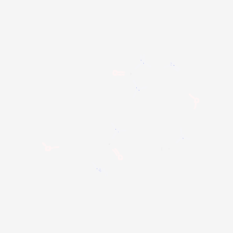 CN1CCC(Oc2cnc3[nH]c(=O)n(C4CCN(C(=O)c5ccc(OC(F)(F)F)cc5N)CC4)c3c2)C1